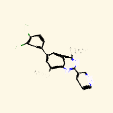 CNc1nc(-c2cccnc2)nc2c(OC)cc(-c3ccc(F)c(F)c3)cc12